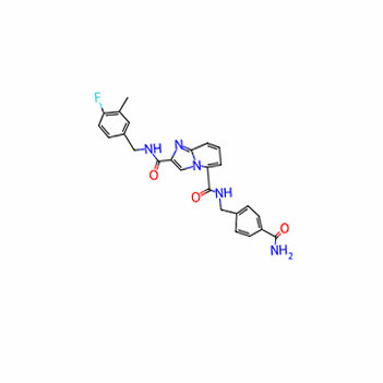 Cc1cc(CNC(=O)c2cn3c(C(=O)NCc4ccc(C(N)=O)cc4)cccc3n2)ccc1F